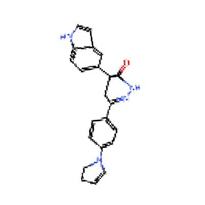 O=C1NN=C(c2ccc(N3C=CCC3)cc2)CC1c1ccc2[nH]ccc2c1